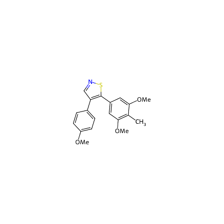 COc1ccc(-c2cnsc2-c2cc(OC)c(C)c(OC)c2)cc1